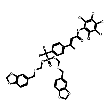 C/C(=C\C(=O)Oc1c(Cl)c(Cl)c(Cl)c(Cl)c1Cl)c1ccc(C(F)(F)P(=O)(OCOCc2ccc3c(c2)OCO3)OCOCc2ccc3c(c2)OCO3)cc1